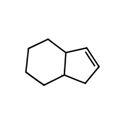 C1=CC2CCCC[C]2C1